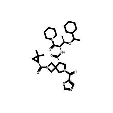 CC(O[C@H](C)[C@H](NC(=O)[C@@H]1CN(C(=O)c2cncs2)CC12CN(C(=O)[C@H]1CC1(C)C)C2)C(=O)N1CCCCC1)C1CCCCC1